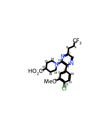 COc1cc(-c2ncc(CCC(F)(F)F)nc2N2CCC(C(=O)O)CC2)ccc1Cl